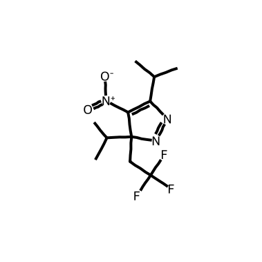 CC(C)C1=C([N+](=O)[O-])C(CC(F)(F)F)(C(C)C)N=N1